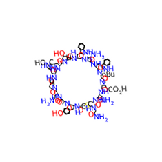 CCCC[C@H]1C(=O)N(C)[C@@H](CCC(=O)O)C(=O)N[C@@H](CN)C(=O)N[C@H](C(=O)NCC(N)=O)CSCC(=O)N[C@@H](Cc2ccc(O)cc2)C(=O)N(C)[C@@H](C)C(=O)N[C@@H](CC(N)=O)C(=O)N2CCC[C@H]2C(=O)N[C@@H](Cc2c[nH]cn2)C(=O)N[C@@H](CCC(=O)O)C(=O)N2C[C@H](O)C[C@H]2C(=O)N[C@@H](Cc2c[nH]c3ccccc23)C(=O)N[C@@H](CCN)C(=O)N[C@@H](Cc2c[nH]c3ccccc23)C(=O)N1C